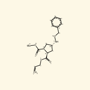 C=CCOC(=O)[C@@H]1C[C@@H](NOCc2ccccc2)CN1C(=O)OC(C)(C)C